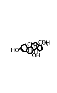 C[C@]12CCC(O)=CC1C[C@H](O)[C@@H]1[C@@H]2CC[C@]2(C)C(O)=CC[C@@H]12